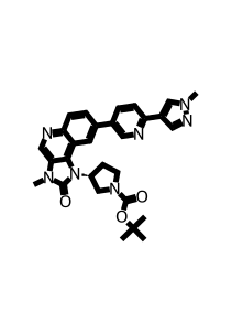 Cn1cc(-c2ccc(-c3ccc4ncc5c(c4c3)n([C@@H]3CCN(C(=O)OC(C)(C)C)C3)c(=O)n5C)cn2)cn1